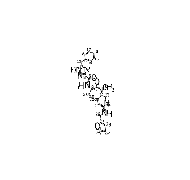 CN1C(=O)[C@@H](NC(=O)c2n[nH]c(Cc3ccccc3)n2)CSc2cc(NCc3ccco3)ncc21